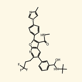 CNC(=O)c1c(-c2ccc(-n3cnc(C)c3)cc2)oc2nc(CCC(F)(F)F)c(-c3cccc(C(O)NC(C)(C)C)c3)cc12